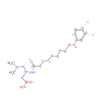 CN(C)CC(CC(=O)O)NC(=O)CCCCCCCCOc1ccc(F)c(F)c1